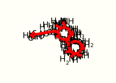 CC(O)[C@@H]1NC(=O)[C@H](C)NC(=O)[C@H](CCCNC(=N)N)NC(=O)[C@H](CCCNC(=N)N)NC(=O)[C@@H](NC(=O)COCCOCCOCCNC(=O)CCCCC2SC[C@H]3NC(=O)N[C@@H]23)Cc2cn(nn2)CCCC[C@@H](C(=O)NCC(=O)N[C@H]2Cc3cn(nn3)CCCC[C@@H](C(N)=O)NC(=O)[C@@H]3CCCN3C(=O)CNC(=O)[C@H](Cc3c[nH]cn3)NC(=O)[C@H](CCCCN)NC(=O)[C@H](CCC(N)=O)NC2=O)NC(=O)[C@H](CO)NC1=O